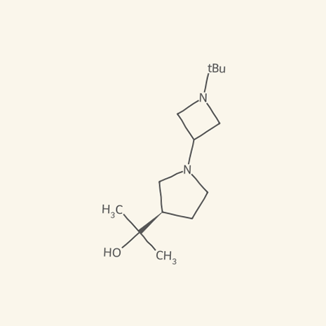 CC(C)(O)[C@@H]1CCN(C2CN(C(C)(C)C)C2)C1